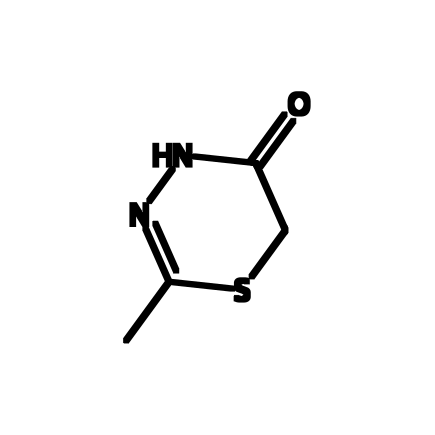 CC1=NNC(=O)CS1